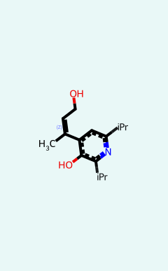 C/C(=C/CO)c1cc(C(C)C)nc(C(C)C)c1O